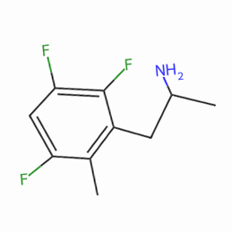 Cc1c(F)cc(F)c(F)c1CC(C)N